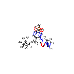 CC(C)[Si](C#Cc1cc(=O)n(Cc2ccn(C)n2)c2nc(S(C)(=O)=O)ncc12)(C(C)C)C(C)C